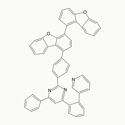 c1ccc(-c2cc(-c3ccccc3-c3cccnc3)nc(-c3ccc(-c4ccc(-c5cccc6oc7ccccc7c56)c5oc6ccccc6c45)cc3)n2)cc1